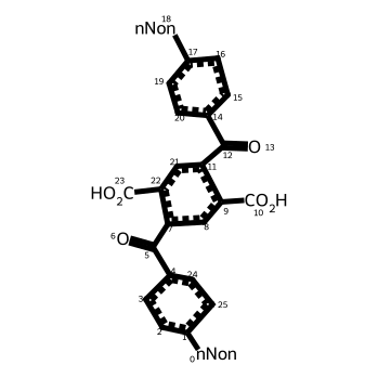 CCCCCCCCCc1ccc(C(=O)c2cc(C(=O)O)c(C(=O)c3ccc(CCCCCCCCC)cc3)cc2C(=O)O)cc1